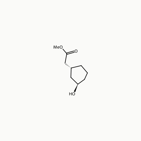 COC(=O)C[C@@H]1CCC[C@@H](O)C1